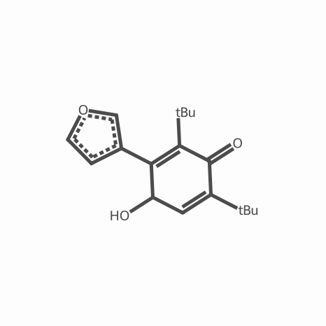 CC(C)(C)C1=CC(O)C(c2ccoc2)=C(C(C)(C)C)C1=O